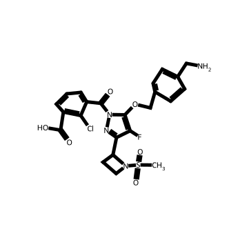 CS(=O)(=O)N1CCC1c1nn(C(=O)c2cccc(C(=O)O)c2Cl)c(OCc2ccc(CN)cc2)c1F